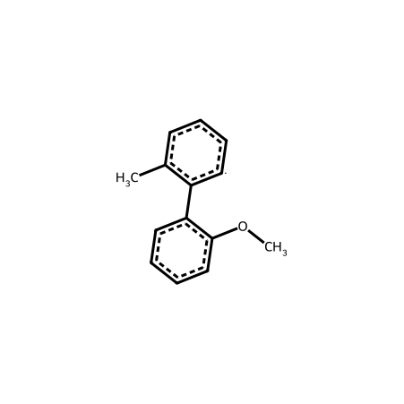 COc1ccccc1-c1[c]cccc1C